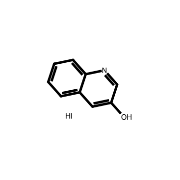 I.Oc1cnc2ccccc2c1